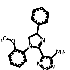 COc1ccccc1N1CC(c2ccccc2)N=C1c1nonc1[NH]